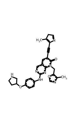 CC1=C(C#Cc2cc3cnc(Nc4ccc(OC5CCNC5)cc4)nc3n(Cc3ocnc3C)c2=O)N=CC1